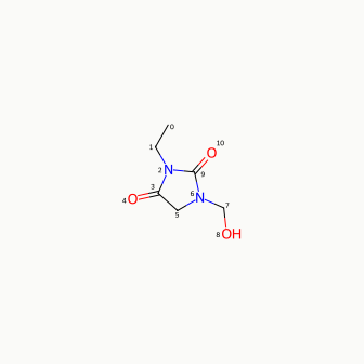 CCN1C(=O)CN(CO)C1=O